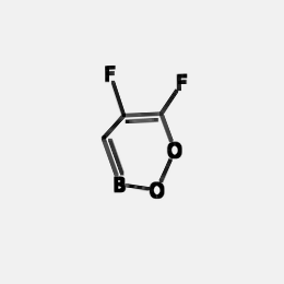 FC1=C(F)OOB=C1